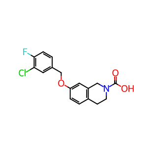 O=C(O)N1CCc2ccc(OCc3ccc(F)c(Cl)c3)cc2C1